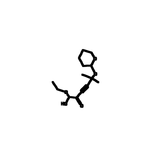 CCOC(O)C(=O)C#CC(C)(C)OC1CCCCO1